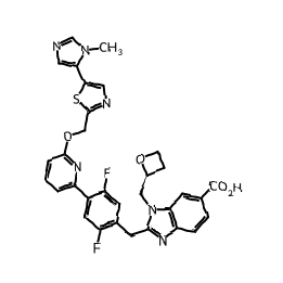 Cn1cncc1-c1cnc(COc2cccc(-c3cc(F)c(Cc4nc5ccc(C(=O)O)cc5n4C[C@@H]4CCO4)cc3F)n2)s1